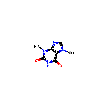 CC[C@H](C)n1cnc2c1c(=O)[nH]c(=O)n2C